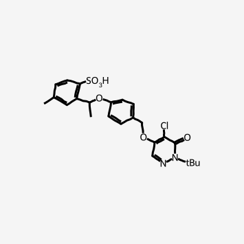 Cc1ccc(S(=O)(=O)O)c(C(C)Oc2ccc(COc3cnn(C(C)(C)C)c(=O)c3Cl)cc2)c1